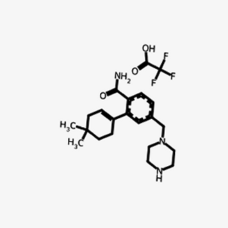 CC1(C)CC=C(c2cc(CN3CCNCC3)ccc2C(N)=O)CC1.O=C(O)C(F)(F)F